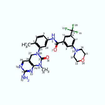 Cc1ccc(NC(=O)c2cc(N3CCOCC3)cc(C(F)(F)F)c2)cc1N1Cc2cnc(N)nc2N(C)C1=O